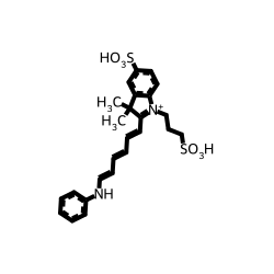 CC1(C)C(C=CC=CC=CNc2ccccc2)=[N+](CCCS(=O)(=O)O)c2ccc(S(=O)(=O)O)cc21